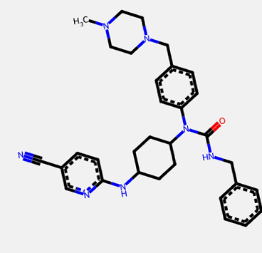 CN1CCN(Cc2ccc(N(C(=O)NCc3ccccc3)C3CCC(Nc4ccc(C#N)cn4)CC3)cc2)CC1